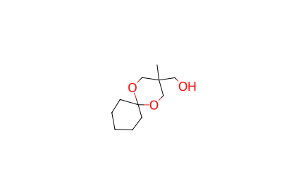 CC1(CO)COC2(CCCCC2)OC1